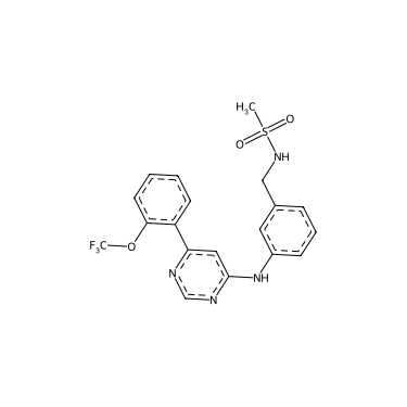 CS(=O)(=O)NCc1cccc(Nc2cc(-c3ccccc3OC(F)(F)F)ncn2)c1